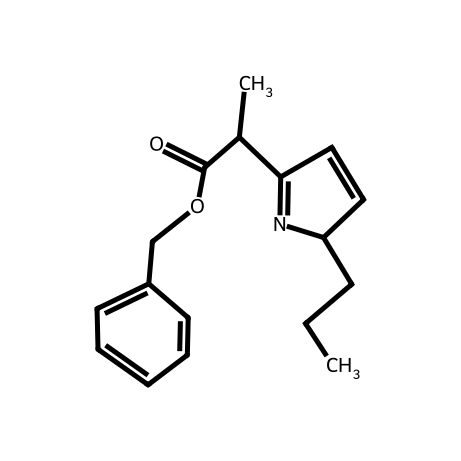 CCCC1C=CC(C(C)C(=O)OCc2ccccc2)=N1